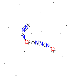 CC(C)(C)OCCN1CCC(N2CCN(C(C)(C)CCC(C)(C)OCCN3CC(CN4CCN(C(C)(C)C)CC4)C3)CC2)CC1